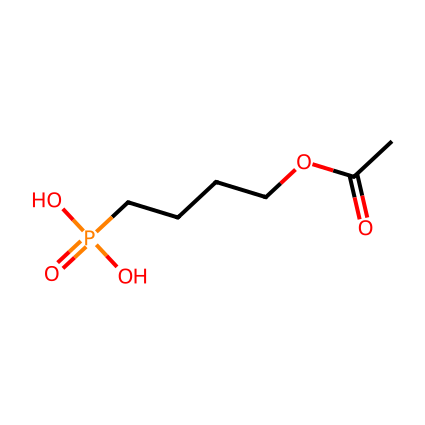 CC(=O)OCCCCP(=O)(O)O